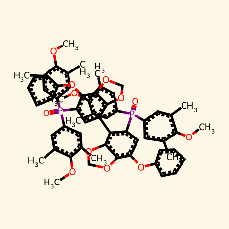 COc1c(C)cc(P(=O)(c2cc(C)c(OC)c(C)c2)c2cc(-c3c(P(=O)(c4cc(C)c(OC)c(C)c4)c4cc(C)c(OC)c(C)c4)cc(Oc4ccccc4)c4c3OCO4)c3c(c2Oc2ccccc2)OCO3)cc1C